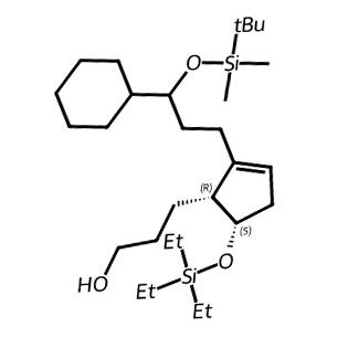 CC[Si](CC)(CC)O[C@H]1CC=C(CCC(O[Si](C)(C)C(C)(C)C)C2CCCCC2)[C@H]1CCCO